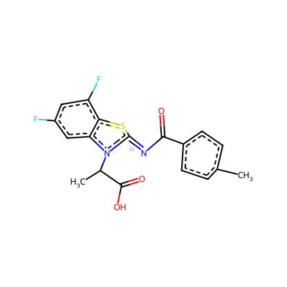 Cc1ccc(C(=O)/N=c2\sc3c(F)cc(F)cc3n2C(C)C(=O)O)cc1